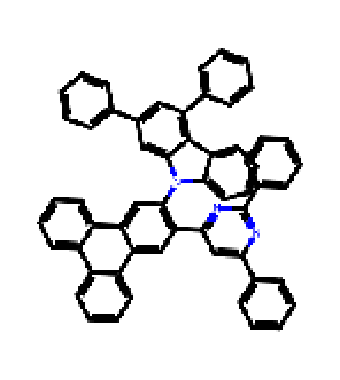 c1ccc(-c2cc(-c3ccccc3)c3c4ccccc4n(-c4cc5c6ccccc6c6ccccc6c5cc4-c4cc(-c5ccccc5)nc(-c5ccccc5)n4)c3c2)cc1